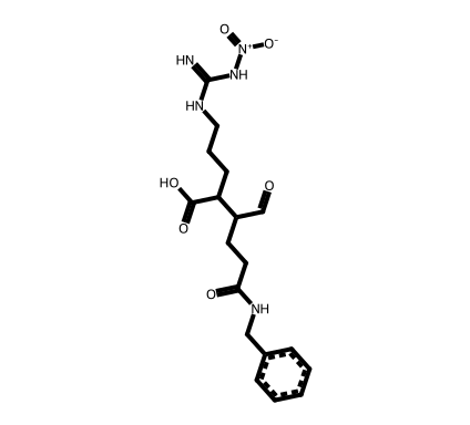 N=C(NCCCC(C(=O)O)C(C=O)CCC(=O)NCc1ccccc1)N[N+](=O)[O-]